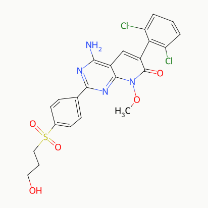 COn1c(=O)c(-c2c(Cl)cccc2Cl)cc2c(N)nc(-c3ccc(S(=O)(=O)CCCO)cc3)nc21